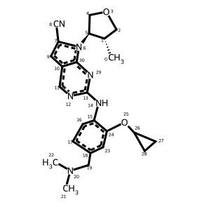 C[C@H]1COC[C@@H]1n1c(C#N)cc2cnc(Nc3ccc(CN(C)C)cc3OC3CC3)nc21